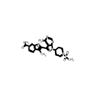 Cc1c(-c2nn(C3CCN(S(C)(=O)=O)CC3)c3ncnc(N)c23)[nH]c2cc(C(N)=O)ccc12